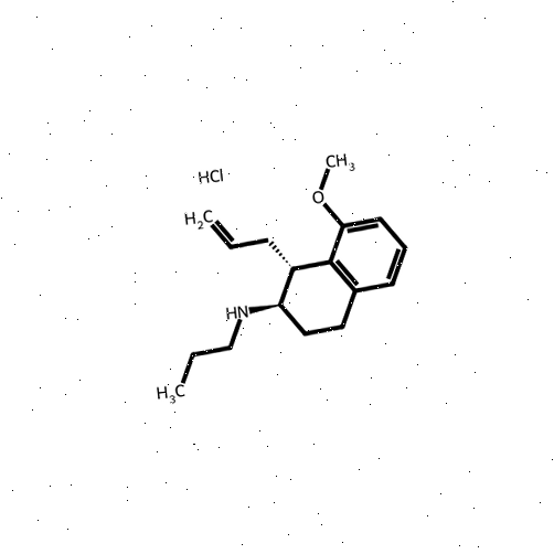 C=CC[C@@H]1c2c(cccc2OC)CC[C@H]1NCCC.Cl